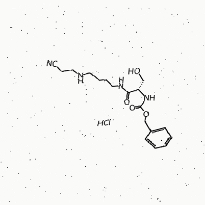 Cl.N#CCCNCCCCNC(=O)[C@H](CO)NC(=O)OCc1ccccc1